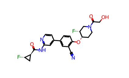 N#Cc1cc(-c2ccnc(NC(=O)[C@H]3C[C@@H]3F)c2)ccc1O[C@H]1CCN(C(=O)CO)C[C@H]1F